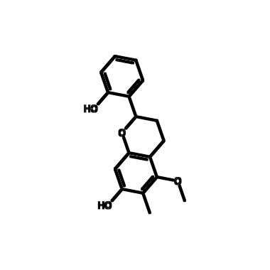 COc1c(C)c(O)cc2c1CCC(c1ccccc1O)O2